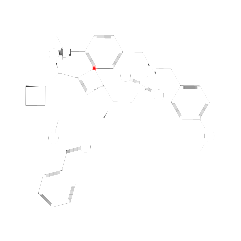 COc1ccc(CN(Cc2ccc(OC)cc2)S(=O)(=O)C[C@@H](C)[C@@]2(C)C=C([C@H](O)[C@@H]3CC[C@H]3COC(=O)c3ccccc3)C2)cc1